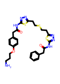 NCCCOc1ccc(CC(=O)Nc2nnc(CCSCCc3nnc(NC(=O)Cc4ccccc4)s3)s2)cc1